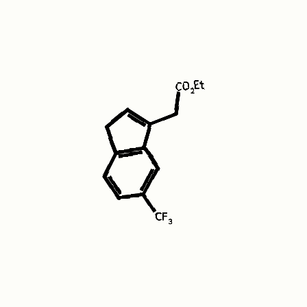 CCOC(=O)CC1=CCc2ccc(C(F)(F)F)cc21